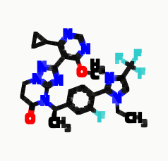 CCn1cc(C(F)(F)F)nc1-c1ccc([C@@H](C)N2C(=O)CCn3nc(-c4c(OC)ncnc4C4CC4)nc32)cc1F